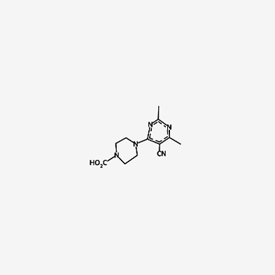 Cc1nc(C)c(C#N)c(N2CCN(C(=O)O)CC2)n1